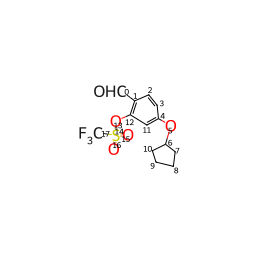 O=Cc1ccc(OC2CCCC2)cc1OS(=O)(=O)C(F)(F)F